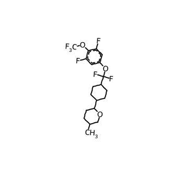 CC1CCC(C2CCC(C(F)(F)Oc3cc(F)c(OC(F)(F)F)c(F)c3)CC2)OC1